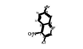 O=[N+]([O-])c1c(Cl)cnc2cc(Br)ccc12